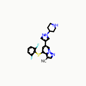 N#Cc1cnn2cc(-c3cnn(C4CCNCC4)c3)cc(Sc3c(F)cccc3F)c12